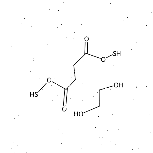 O=C(CCC(=O)OS)OS.OCCO